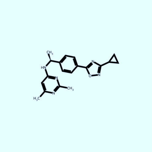 Cc1cc(N[C@@H](C)c2ccc(-c3nc(C4CC4)no3)cc2)nc(C)n1